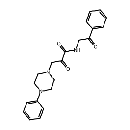 O=C(CN1CCN(c2ccccc2)CC1)C(=O)NCC(=O)c1ccccc1